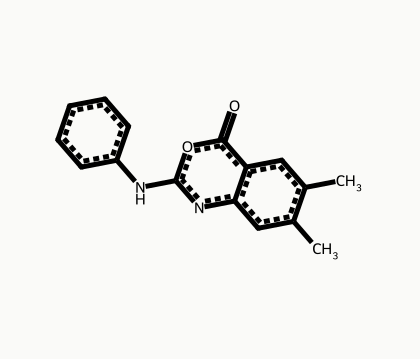 Cc1cc2nc(Nc3ccccc3)oc(=O)c2cc1C